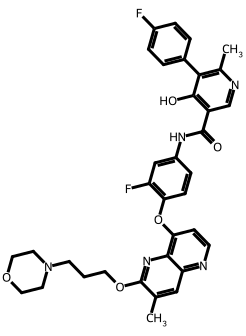 Cc1cc2nccc(Oc3ccc(NC(=O)c4cnc(C)c(-c5ccc(F)cc5)c4O)cc3F)c2nc1OCCCN1CCOCC1